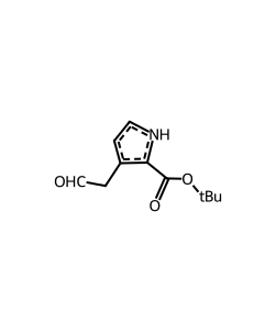 CC(C)(C)OC(=O)c1[nH]ccc1CC=O